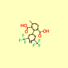 Cc1ccc(C(=O)O)c(-c2cc(C(F)(F)F)nc(C(F)(F)F)c2)c1C(=O)O